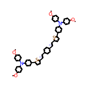 COc1ccc(N(c2ccc(OC)cc2)c2ccc(-c3ccc(/C=C/c4ccc(/C=C/c5ccc(-c6ccc(N(c7ccc(OC)cc7)c7ccc(OC)cc7)cc6)s5)cc4)s3)cc2)cc1